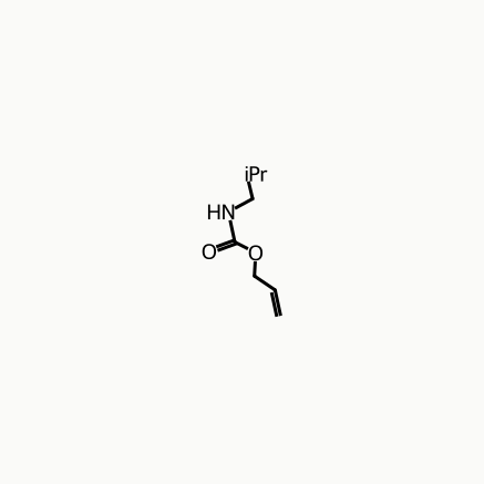 C=CCOC(=O)NCC(C)C